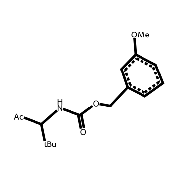 COc1cccc(COC(=O)NC(C(C)=O)C(C)(C)C)c1